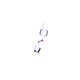 O=C(Cn1cc(Br)cn1)N1CCNCC1